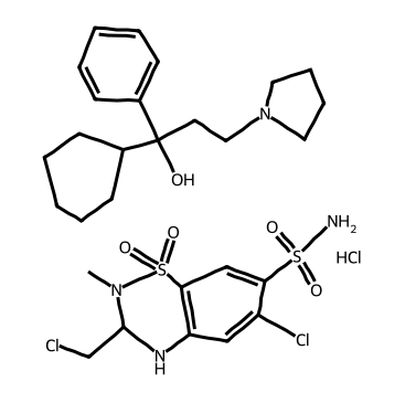 CN1C(CCl)Nc2cc(Cl)c(S(N)(=O)=O)cc2S1(=O)=O.Cl.OC(CCN1CCCC1)(c1ccccc1)C1CCCCC1